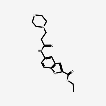 CCOC(=O)c1cc2cc(NC(=O)CCN3CCOCC3)ccc2[se]1